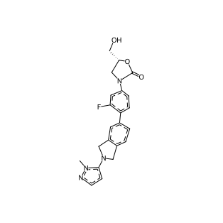 Cn1nccc1N1Cc2ccc(-c3ccc(N4C[C@H](CO)OC4=O)cc3F)cc2C1